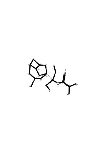 CCC(CC)(OC(=O)C(C)C)[C@@]12CC(C)CC3CC(C1)C3C2